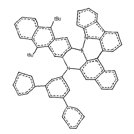 CC(C)(C)c1c2ccccc2c(C(C)(C)C)c2cc3c(cc12)B1c2c(cc4ccccc4c2-c2cccc4c5ccccc5n1c24)N3c1cc(-c2ccccc2)cc(-c2ccccc2)c1